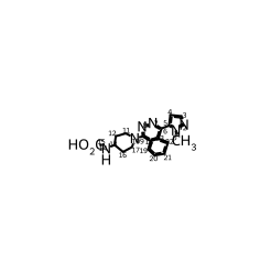 Cn1nccc1-c1nnc(N2CCC(NC(=O)O)CC2)c2ccccc12